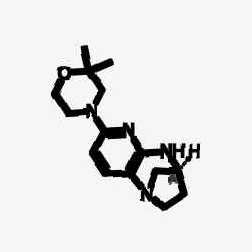 CC1(C)CN(c2ccc3c(n2)N[C@H]2CCN3C2)CCO1